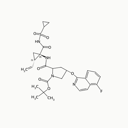 C=C[C@@H]1C[C@]1(NC(=O)C1CC(Oc2nccc3c(F)cccc23)CN1C(=O)OC(C)(C)C)C(=O)NS(=O)(=O)C1CC1